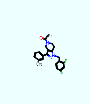 CC(C)C(=O)N1CCc2c(c(-c3cccc(C#N)c3)nn2Cc2ccc(F)cc2F)C1